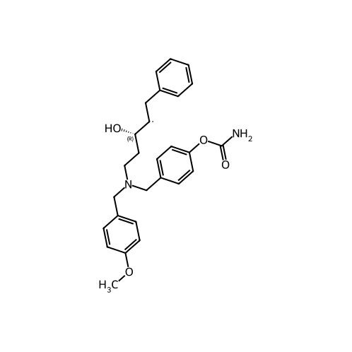 COc1ccc(CN(CC[C@H](O)[CH]Cc2ccccc2)Cc2ccc(OC(N)=O)cc2)cc1